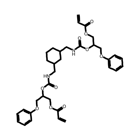 C=CC(=O)OCC(COc1ccccc1)OC(=O)NCC1CCCC(CNC(=O)OC(COC(=O)C=C)COc2ccccc2)C1